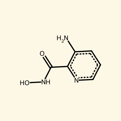 Nc1cccnc1C(=O)NO